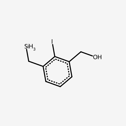 OCc1cccc(C[SiH3])c1I